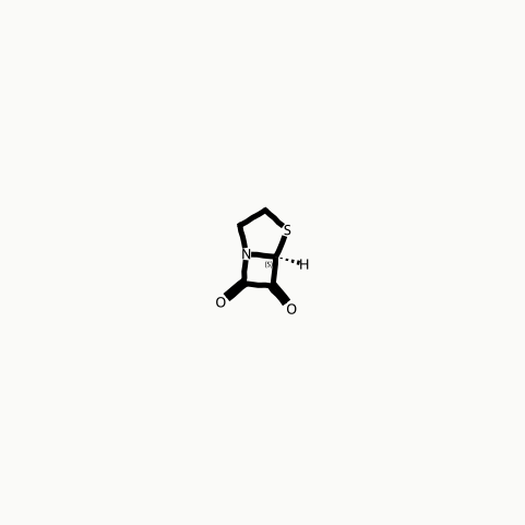 O=C1C(=O)N2CCS[C@@H]12